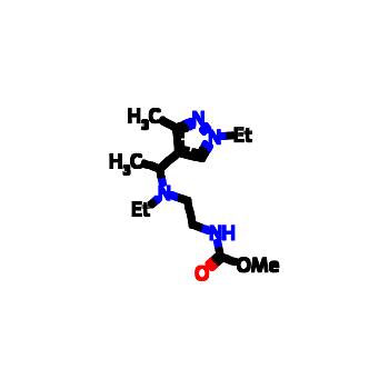 CCN(CCNC(=O)OC)C(C)c1cn(CC)nc1C